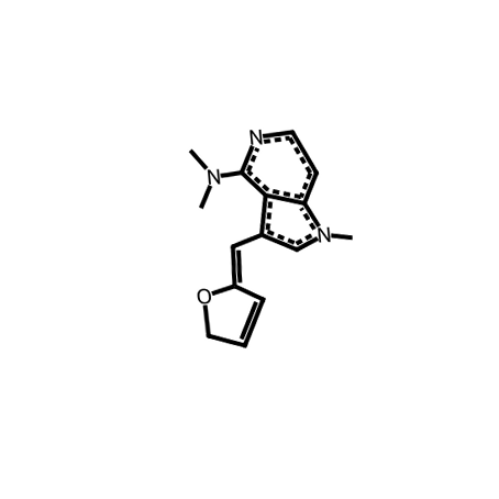 CN(C)c1nccc2c1c(/C=C1\C=CCO1)cn2C